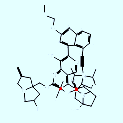 C=C1CN2CC(F)CC2(COc2nc(N3C[C@H]4CC[C@@H](C3)N4C(=O)OC(C)(C)C)c3cnc(-c4cc(OCOC)cc5cccc(C#C[Si](C(C)C)(C(C)C)C(C)C)c45)c(F)c3n2)C1